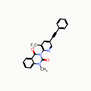 Cn1c(=O)n(-c2ncc(C#Cc3ccccc3)cc2C(F)(F)F)c(=O)c2ccccc21